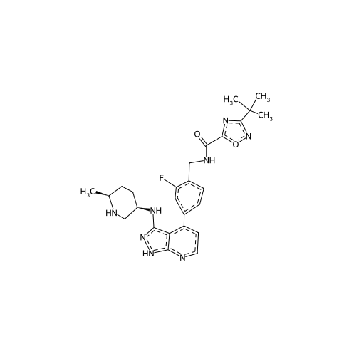 C[C@H]1CC[C@@H](Nc2n[nH]c3nccc(-c4ccc(CNC(=O)c5nc(C(C)(C)C)no5)c(F)c4)c23)CN1